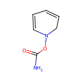 NC(=O)ON1C=CC=CC1